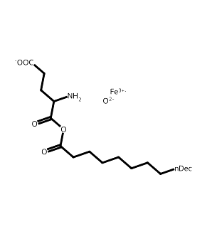 CCCCCCCCCCCCCCCCCC(=O)OC(=O)C(N)CCC(=O)[O-].[Fe+3].[O-2]